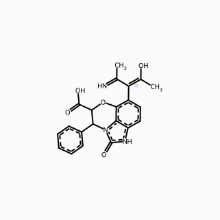 CC(=N)/C(=C(/C)O)c1ccc2[nH]c(=O)n3c2c1OC(C(=O)O)C3c1ccccc1